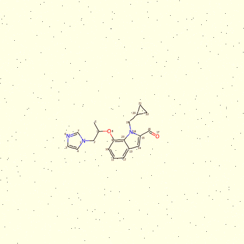 CC(Cn1ccnc1)Oc1cccc2cc(C=O)n(CC3CC3)c12